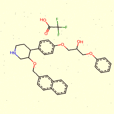 O=C(O)C(F)(F)F.OC(COc1ccccc1)COc1ccc(C2CCNCC2OCc2ccc3ccccc3c2)cc1